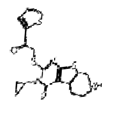 O=C(CSc1nc2sc3c(c2c(=O)n1C1CC1)CCNC3)c1cccs1